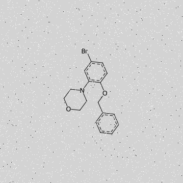 Brc1ccc(OCc2ccccc2)c(N2CCOCC2)c1